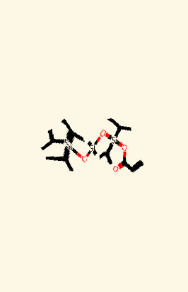 C=CC(=O)O[Si](O[Si](C)(C)O[Si](C(C)C)(C(C)C)C(C)C)(C(C)C)C(C)C